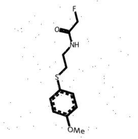 COc1ccc(SCCNC(=O)CF)cc1